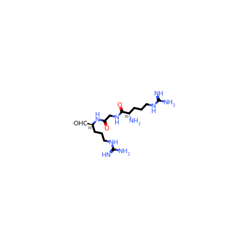 N=C(N)NCCC[C@@H]([C]=O)NC(=O)CNC(=O)[C@@H](N)CCCNC(=N)N